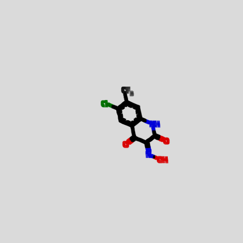 O=C1Nc2cc(C(F)(F)F)c(Cl)cc2C(=O)/C1=N/O